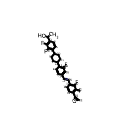 CC(O)c1ccc(C2CCC(c3ccc(/C=C/c4ccc(C5CO5)c(F)c4F)cc3F)CC2)c(F)c1F